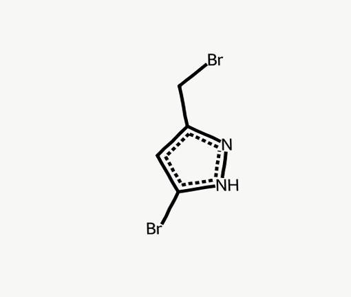 BrCc1cc(Br)[nH]n1